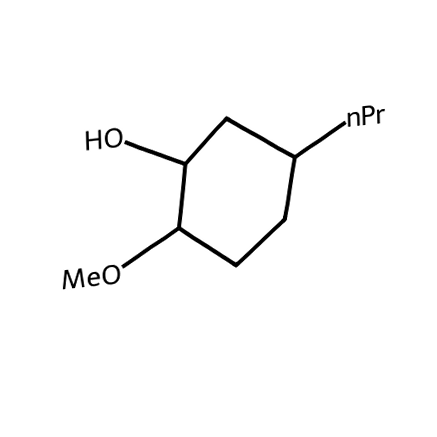 CCCC1CCC(OC)C(O)C1